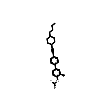 CCCCC1CCC(C#Cc2ccc(-c3ccc(OC(F)F)c(F)c3)cc2)CC1